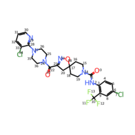 O=C(Nc1ccc(Cl)cc1C(F)(F)F)N1CCC2(CC1)CC(C(=O)N1CCN(c3ncccc3Cl)CC1)=NO2